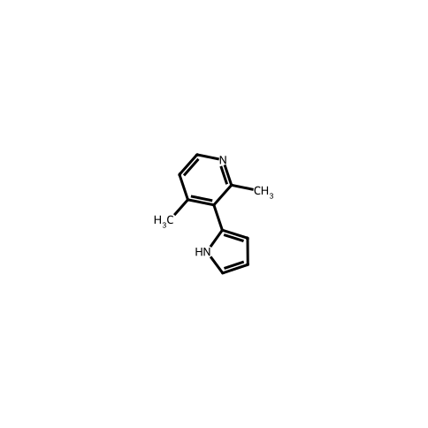 Cc1ccnc(C)c1-c1ccc[nH]1